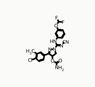 Cc1cc(C2=NN(C(=NC#N)Nc3cccc(OC(F)F)c3)CC2OC(N)=O)ccc1Cl